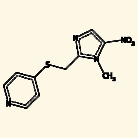 Cn1c([N+](=O)[O-])cnc1CSc1ccncc1